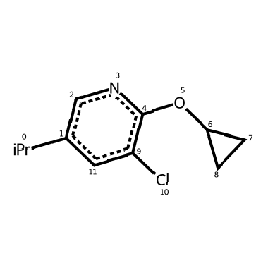 CC(C)c1cnc(OC2CC2)c(Cl)c1